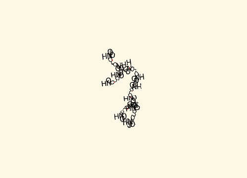 CCC(COC(=O)NC1CCC(CC2CCC(NC(C)=O)CC2)CC1)(COC(=O)NC1CCC(CC2CCC(NC(=O)OC)CC2)CC1)COC(=O)NC1CCC(CC2CCC(NC(=O)OCOC(=O)NC3CCC(CC4CCC(NC(=O)OCC(CC)(COC(=O)NC5CCC(CC6CCC(NC(=O)OC)CC6)CC5)COC(=O)NC5CCC(CC6CCC(NC(=O)OC)CC6)CC5)CC4)CC3)CC2)CC1